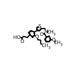 CCCCOc1cc(CCC(=O)O)ccc1-c1csc(CN(C)C(=O)c2cccc(OC)c2)c1